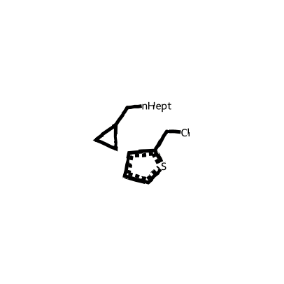 CCCCCCCCC1CC1.ClCc1cccs1